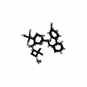 CC1(C)[C@H](O)C[C@@H]1Nc1nc(NCc2cncnc2-c2ccc(F)cc2)ncc1C(F)(F)F